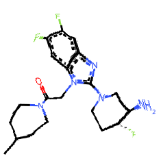 CC1CCN(C(=O)Cn2c(N3CC[C@@H](F)[C@H](N)C3)nc3cc(F)c(F)cc32)CC1